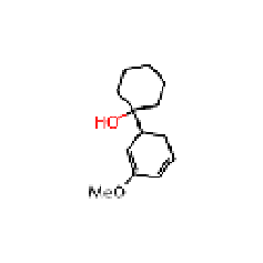 COC1=CC(C2(O)CCCCC2)CC=C1